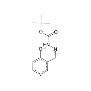 CC(C)(C)OC(=O)N/N=C\c1cnccc1O